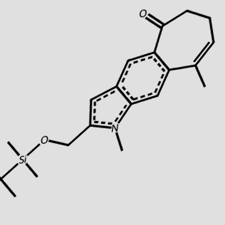 CC1=CCCC(=O)c2cc3cc(CO[Si](C)(C)C(C)(C)C)n(C)c3cc21